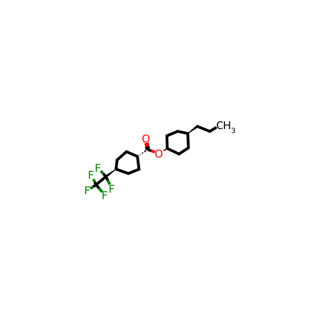 CCC[C@H]1CC[C@H](OC(=O)[C@H]2CC[C@H](C(F)(F)C(F)(F)F)CC2)CC1